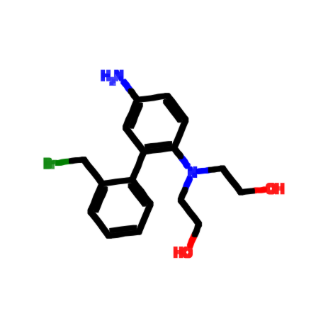 Nc1ccc(N(CCO)CCO)c(-c2ccccc2CBr)c1